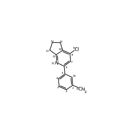 Cc1cccc(-c2cc(Cl)c3c(n2)CCC3)c1